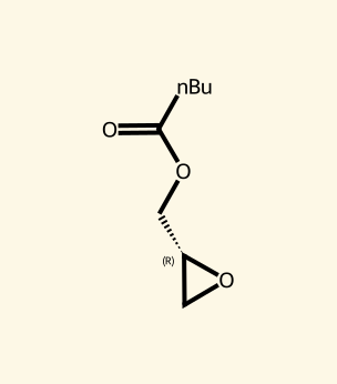 CCCCC(=O)OC[C@H]1CO1